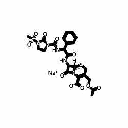 CC(=O)OCC1=C(C(=O)[O-])N2C(=O)C(NC(=O)C(NC(=O)N3CCN(S(C)(=O)=O)C3=O)c3ccccc3)[C@@H]2SC1.[Na+]